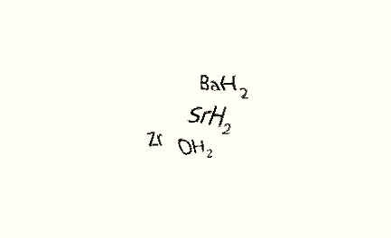 O.[BaH2].[SrH2].[Zr]